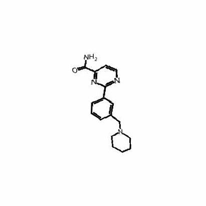 NC(=O)c1ccnc(-c2cccc(CN3CCCCC3)c2)n1